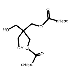 CCCCCCCC(=O)OCC(CO)(CO)COC(=O)CCCCCCC